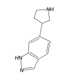 c1cc2cn[nH]c2cc1C1CCNC1